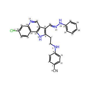 N#Cc1ccc(NCCc2[nH]c3c(cnc4cc(Cl)ccc43)c2/C=N/Nc2ccccc2)cc1